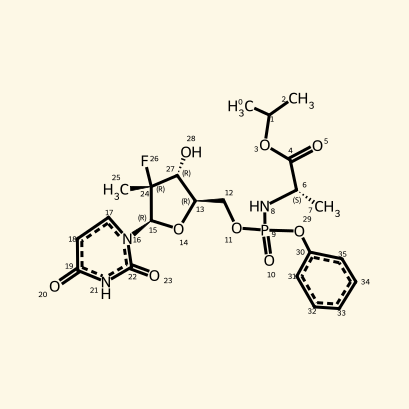 CC(C)OC(=O)[C@H](C)NP(=O)(OC[C@H]1O[C@@H](n2ccc(=O)[nH]c2=O)[C@](C)(F)[C@@H]1O)Oc1ccccc1